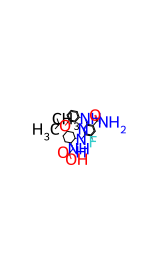 CC(C)Oc1cccc(Nc2nc(N[C@@H]3CCCC[C@@H]3NC(=O)O)c(F)cc2C(N)=O)c1